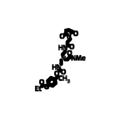 CCC(=O)Oc1ccc(C(C)OC(=O)NCCN(CCNC(=O)CCN2C(=O)C=CC2=O)CC(=O)NC)cc1